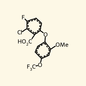 COc1cc(OC(F)(F)F)ccc1Oc1ccc(F)c(Cl)c1C(=O)O